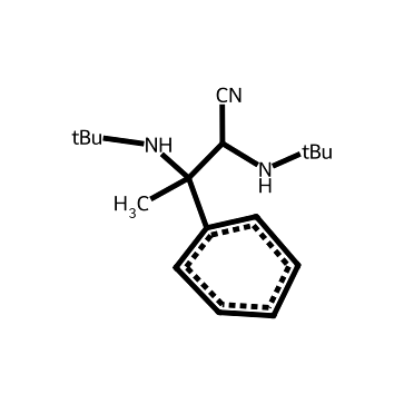 CC(C)(C)NC(C#N)C(C)(NC(C)(C)C)c1ccccc1